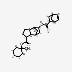 CC1(OC(=O)C2CCC3C4CC(CC4OC(=O)C4CC5C=CC4C5)C23)CCCCC1